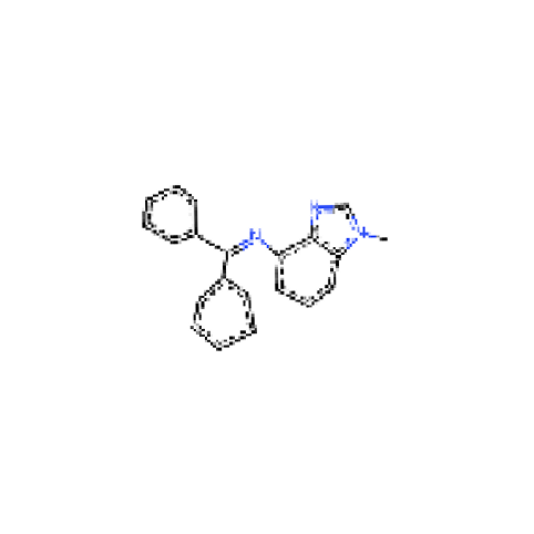 Cn1cnc2c(N=C(c3ccccc3)c3ccccc3)cccc21